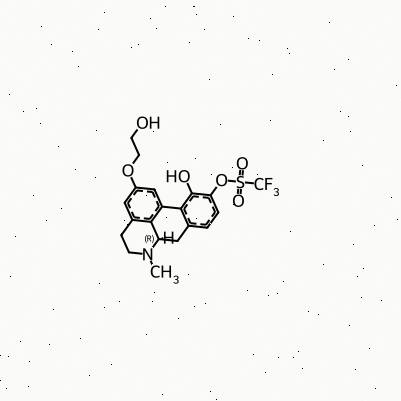 CN1CCc2cc(OCCO)cc3c2[C@H]1Cc1ccc(OS(=O)(=O)C(F)(F)F)c(O)c1-3